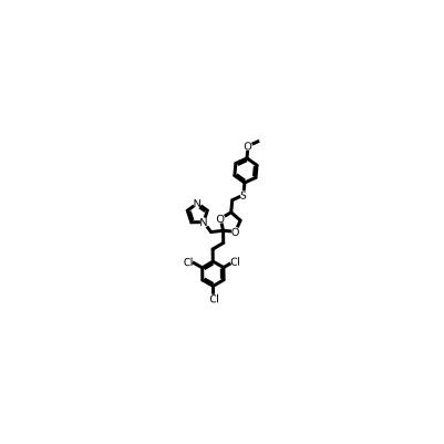 COc1ccc(SCC2COC(CCc3c(Cl)cc(Cl)cc3Cl)(Cn3ccnc3)O2)cc1